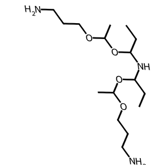 CCC(NC(CC)OC(C)OCCCN)OC(C)OCCCN